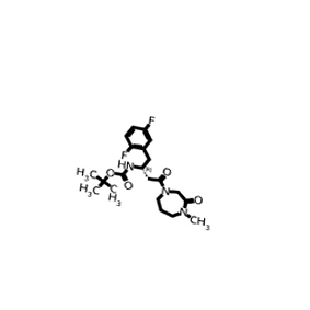 CN1CCCN(C(=O)C[C@@H](Cc2cc(F)ccc2F)NC(=O)OC(C)(C)C)CC1=O